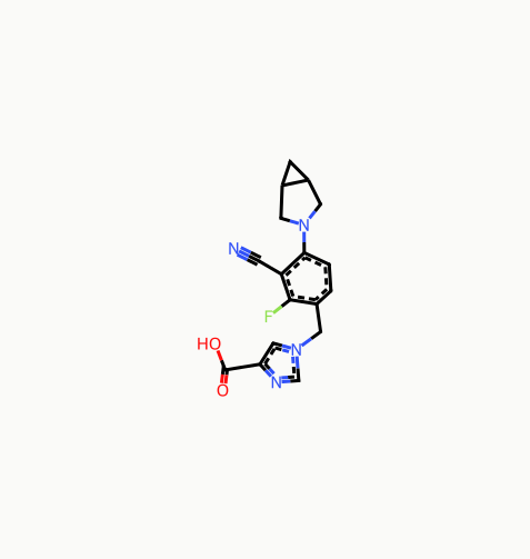 N#Cc1c(N2CC3CC3C2)ccc(Cn2cnc(C(=O)O)c2)c1F